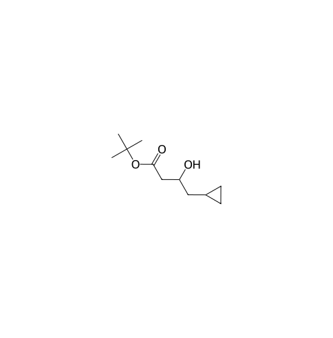 CC(C)(C)OC(=O)CC(O)CC1CC1